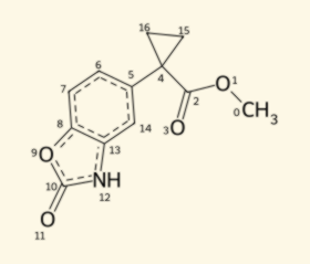 COC(=O)C1(c2ccc3oc(=O)[nH]c3c2)CC1